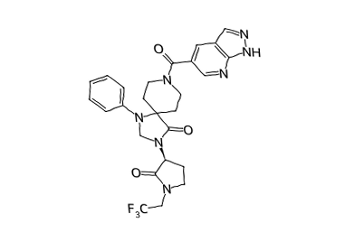 O=C(c1cnc2[nH]ncc2c1)N1CCC2(CC1)C(=O)N([C@H]1CCN(CC(F)(F)F)C1=O)CN2c1ccccc1